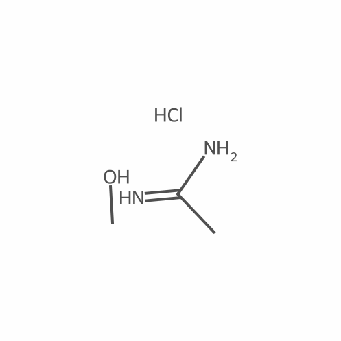 CC(=N)N.CO.Cl